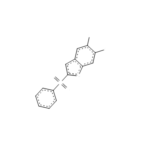 O=S(=O)(c1ccccc1)c1cc2cc(O)c(F)cc2[nH]1